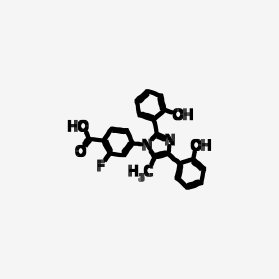 Cc1c(-c2ccccc2O)nc(-c2ccccc2O)n1-c1ccc(C(=O)O)c(F)c1